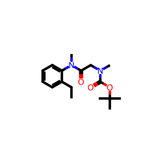 CCc1ccccc1N(C)C(=O)CN(C)C(=O)OC(C)(C)C